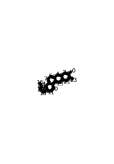 Cc1cc2cc3ccc4c(ccc5ccn(C)c54)c3cc2cc1C